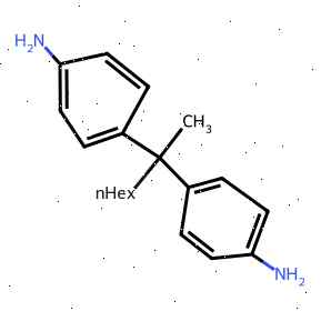 CCCCCCC(C)(c1ccc(N)cc1)c1ccc(N)cc1